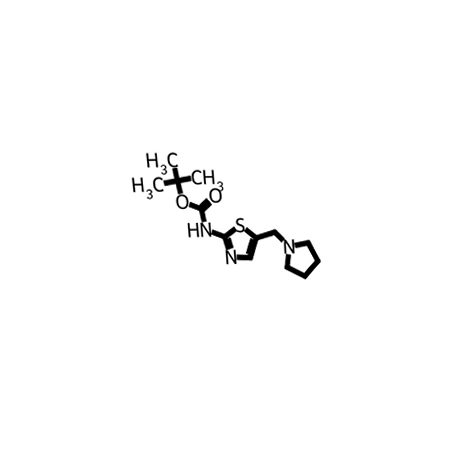 CC(C)(C)OC(=O)Nc1ncc(CN2CCCC2)s1